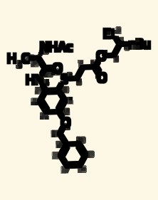 CCCCC(CC)COC(=O)CCSc1cc(OCc2ccccc2)ccc1NC(=O)[C@H](C)NC(C)=O